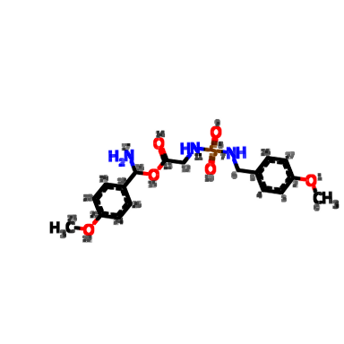 COc1ccc(CNS(=O)(=O)NCC(=O)OC(N)c2ccc(OC)cc2)cc1